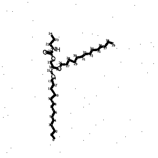 CCCCCCCCCCCCCCOC[C@H](COC(=O)NCCC)OCCCCCCCCCCCCCC